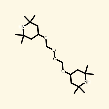 CC1(C)CC(OCOOCOC2CC(C)(C)NC(C)(C)C2)CC(C)(C)N1